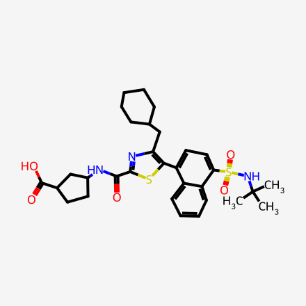 CC(C)(C)NS(=O)(=O)c1ccc(-c2sc(C(=O)NC3CCC(C(=O)O)C3)nc2CC2CCCCC2)c2ccccc12